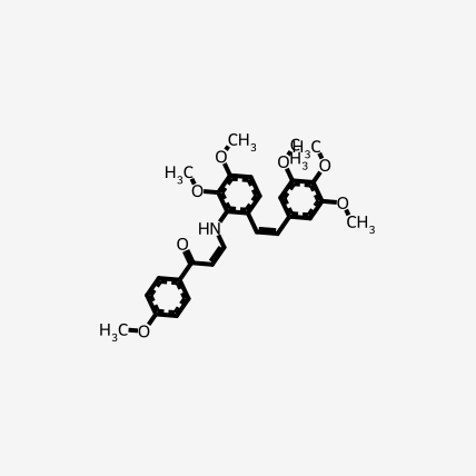 COc1ccc(C(=O)/C=C\Nc2c(/C=C\c3cc(OC)c(OC)c(OC)c3)ccc(OC)c2OC)cc1